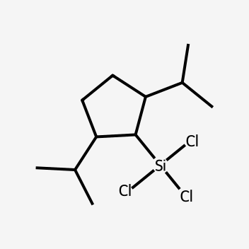 CC(C)C1CCC(C(C)C)C1[Si](Cl)(Cl)Cl